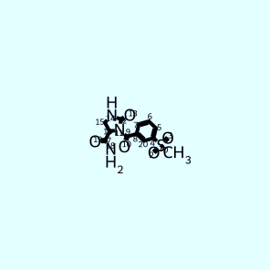 CS(=O)(=O)c1cccc(C(=O)N2C(=O)NCC2C(N)=O)c1